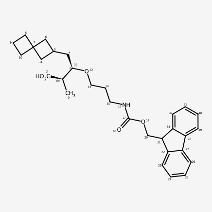 C[C@@H](C(=O)O)[C@@H](CC1CC2(CCC2)C1)OCCCNC(=O)OCC1c2ccccc2-c2ccccc21